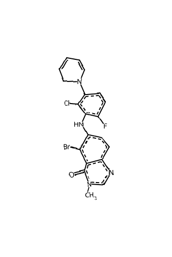 Cn1cnc2ccc(Nc3c(F)ccc(N4C=CC=CC4)c3Cl)c(Br)c2c1=O